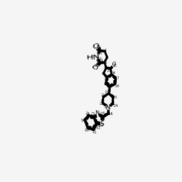 O=C1CCC(C2Cc3cc(C4CCN(Cc5nc6ccccc6s5)CC4)ccc3C2=O)C(=O)N1